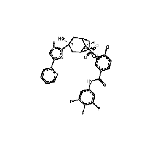 C[C@H]1CC2C[C@](O)(c3nc(-c4ccccn4)c[nH]3)CC1[C@@H]2S(=O)(=O)c1cc(C(=O)Nc2cc(F)c(F)c(F)c2)ccc1Cl